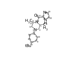 CC1CN(c2ccc(C(C)(C)C)cc2)CC(C)N1C(=O)c1ncc[nH]1